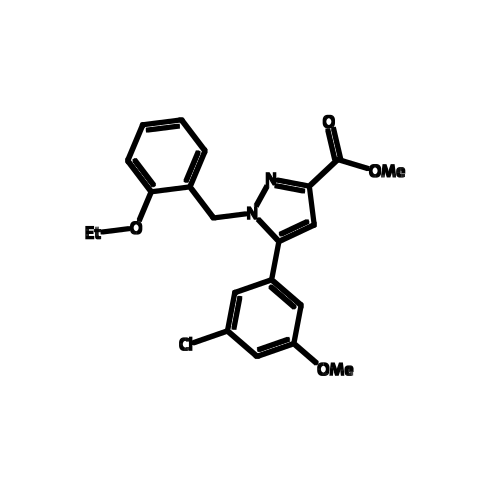 CCOc1ccccc1Cn1nc(C(=O)OC)cc1-c1cc(Cl)cc(OC)c1